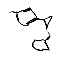 Brc1ccc([C@H]2C[C@@H]2CN2CCCC2)cc1